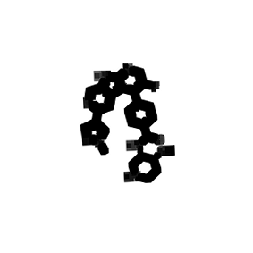 Cn1cc(-c2cc3c(cn2)[nH]c2ncc(F)c(-c4ccc(C(=O)N[C@H]5CNCC[C@@H]5O)cc4)c23)cn1